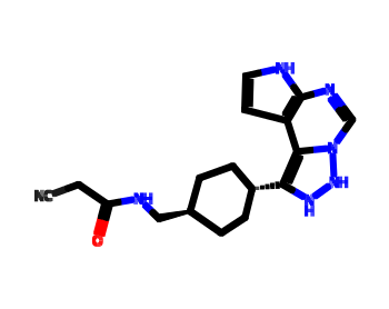 N#CCC(=O)NC[C@H]1CC[C@H](C2=C3c4cc[nH]c4N=CN3NN2)CC1